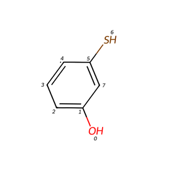 Oc1cc[c]c(S)c1